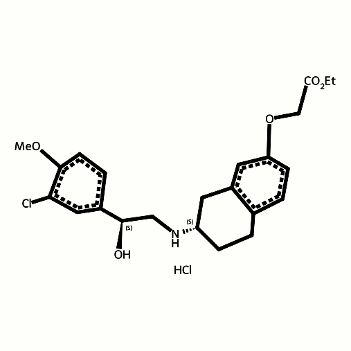 CCOC(=O)COc1ccc2c(c1)C[C@@H](NC[C@@H](O)c1ccc(OC)c(Cl)c1)CC2.Cl